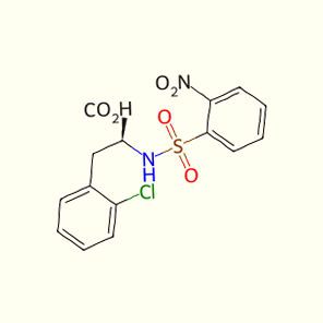 O=C(O)[C@H](Cc1ccccc1Cl)NS(=O)(=O)c1ccccc1[N+](=O)[O-]